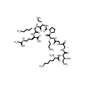 C[C@H](NC(=O)[C@@H](NC(=O)[C@@H](N)CCCCN)[C@@H](O)CN)C(=O)NCC(=O)N[C@H](CCCN)C(=O)N1CCC[C@H]1C(=O)N[C@@H](CCO)C(=O)N[C@@H](CCCCN)C(=O)N/C(=C\CCNC(=N)N)C(=O)O